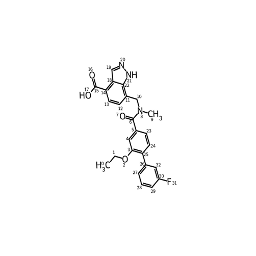 CCOc1cc(C(=O)N(C)Cc2ccc(C(=O)O)c3cn[nH]c23)ccc1-c1cccc(F)c1